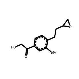 CCCc1cc(C(=O)CO)ccc1CCC1CO1